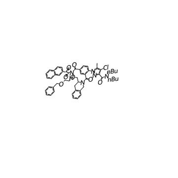 CCCCN(CCCC)C(=O)c1nn(-c2ccc(C(=O)NS(=O)(=O)c3ccc4ccccc4c3)cc2C(=O)N2Cc3ccccc3CC2COCCOCc2ccccc2)c(C)c1Cl